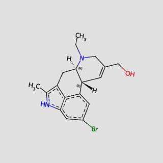 CCN1CC(CO)=C[C@@H]2c3cc(Br)cc4[nH]c(C)c(c34)C[C@H]21